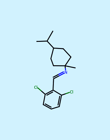 CC(C)C1CCC(C)(N=Cc2c(Cl)cccc2Cl)CC1